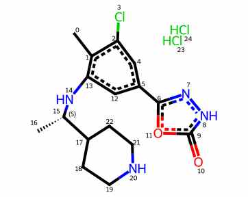 Cc1c(Cl)cc(-c2n[nH]c(=O)o2)cc1N[C@@H](C)C1CCNCC1.Cl.Cl